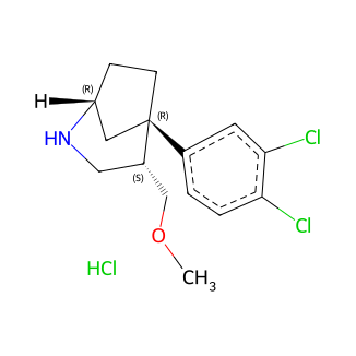 COC[C@@H]1CN[C@@H]2CC[C@@]1(c1ccc(Cl)c(Cl)c1)C2.Cl